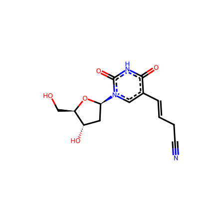 N#CC/C=C/c1cn([C@H]2C[C@H](O)[C@@H](CO)O2)c(=O)[nH]c1=O